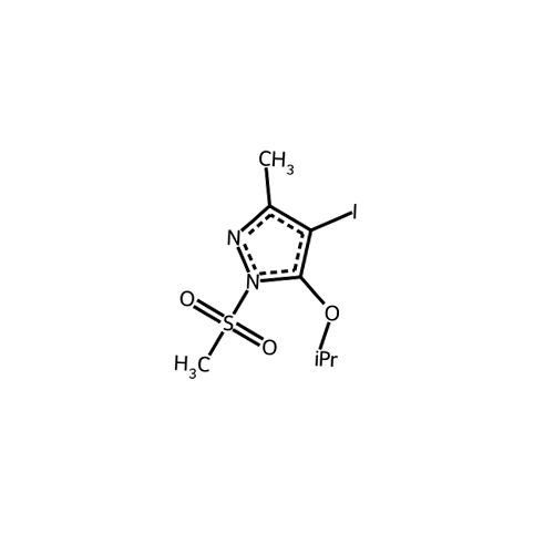 Cc1nn(S(C)(=O)=O)c(OC(C)C)c1I